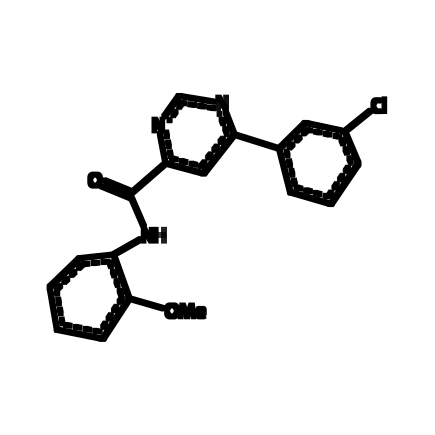 COc1ccccc1NC(=O)c1cc(-c2cccc(Cl)c2)ncn1